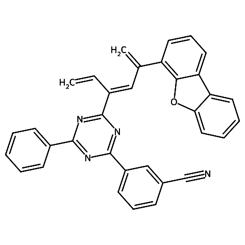 C=C/C(=C\C(=C)c1cccc2c1oc1ccccc12)c1nc(-c2ccccc2)nc(-c2cccc(C#N)c2)n1